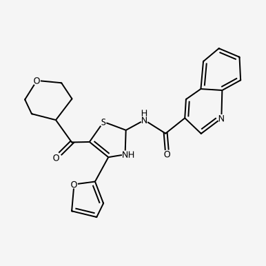 O=C(NC1NC(c2ccco2)=C(C(=O)C2CCOCC2)S1)c1cnc2ccccc2c1